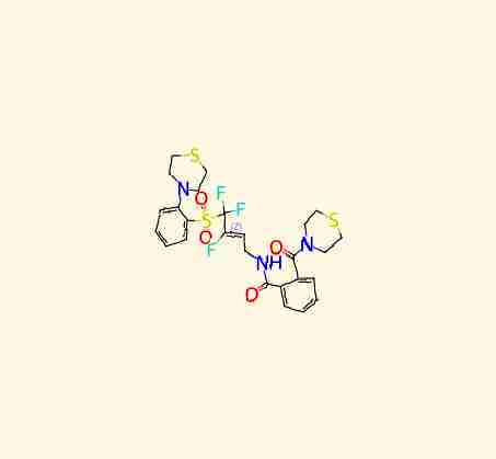 O=C(NC/C=C(\F)C(F)(F)S(=O)(=O)c1ccccc1N1CCSCC1)c1ccccc1C(=O)N1CCSCC1